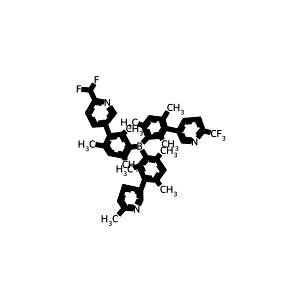 Cc1ccc(-c2c(C)cc(C)c(B(c3c(C)cc(C)c(-c4ccc(C(F)F)nc4)c3C)c3c(C)cc(C)c(-c4ccc(C(F)(F)F)nc4)c3C)c2C)cn1